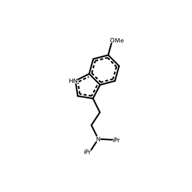 COc1ccc2c(CCN(C(C)C)C(C)C)c[nH]c2c1